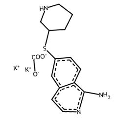 Nc1nccc2cc(SC3CCCNC3)ccc12.O=C([O-])[O-].[K+].[K+]